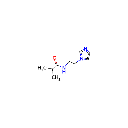 CC(C)C(=O)NCCn1ccnc1